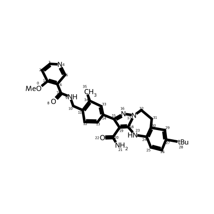 COc1ccncc1C(=O)NCc1ccc(-c2nn3c(c2C(N)=O)Nc2ccc(C(C)(C)C)cc2CC3)cc1C